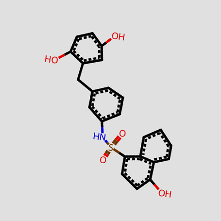 O=S(=O)(Nc1cccc(Cc2cc(O)ccc2O)c1)c1ccc(O)c2ccccc12